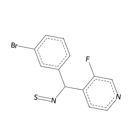 Fc1cnccc1C(N=S)c1cccc(Br)c1